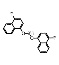 Fc1ccc(OBOc2ccc(F)c3ccccc23)c2ccccc12